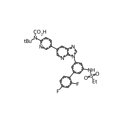 CCS(=O)(=O)Nc1cc(-c2ccc(F)cc2F)cc(-n2cnc3cc(-c4ccc(N(C(=O)O)C(C)(C)C)nc4)cnc32)c1